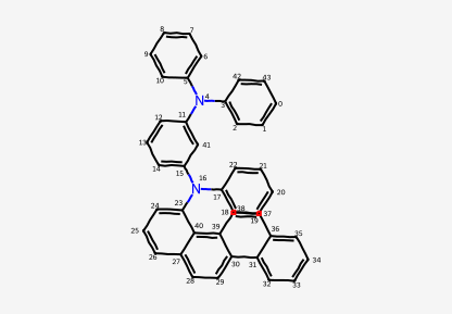 c1ccc(N(c2ccccc2)c2cccc(N(c3ccccc3)c3cccc4ccc5c6ccccc6ccc5c34)c2)cc1